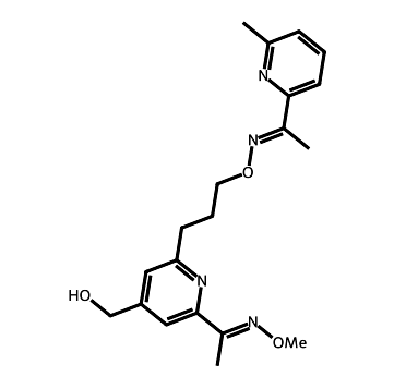 CO/N=C(\C)c1cc(CO)cc(CCCO/N=C(\C)c2cccc(C)n2)n1